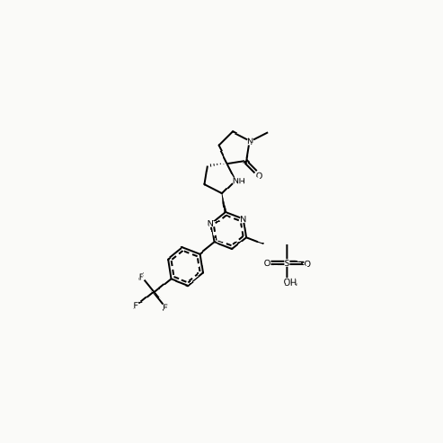 CS(=O)(=O)O.Cc1cc(-c2ccc(C(F)(F)F)cc2)nc([C@H]2CC[C@@]3(CCN(C)C3=O)N2)n1